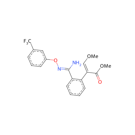 COC=C(C(=O)OC)c1ccccc1C(N)=NOc1cccc(C(F)(F)F)c1